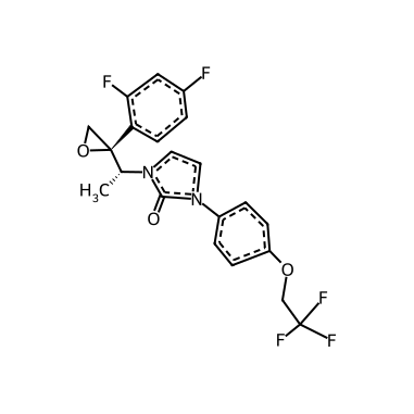 C[C@@H](n1ccn(-c2ccc(OCC(F)(F)F)cc2)c1=O)[C@@]1(c2ccc(F)cc2F)CO1